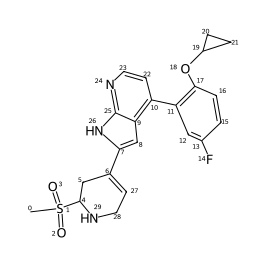 CS(=O)(=O)C1CC(c2cc3c(-c4cc(F)ccc4OC4CC4)ccnc3[nH]2)=CCN1